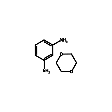 C1COCCO1.Nc1cccc(N)c1